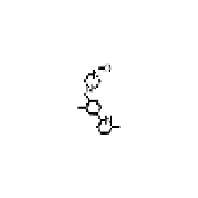 Cc1cccc(-c2ccc(CN3CCN(C=O)CC3)c(C)c2)n1